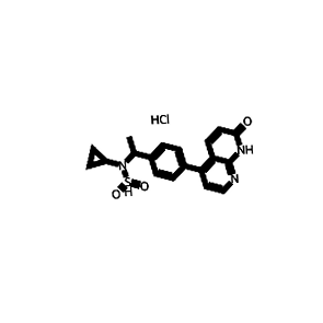 CC(c1ccc(-c2ccnc3[nH]c(=O)ccc23)cc1)N(C1CC1)[SH](=O)=O.Cl